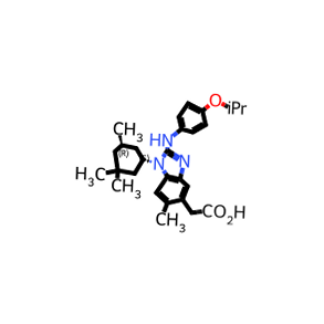 Cc1cc2c(cc1CC(=O)O)nc(Nc1ccc(OC(C)C)cc1)n2[C@H]1C[C@H](C)CC(C)(C)C1